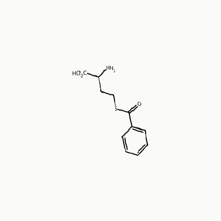 NC(CCSC(=O)c1ccccc1)C(=O)O